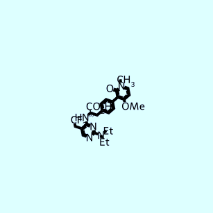 CCN(CC)c1ncc(CC(F)(F)F)c(N[C@@H](Cc2ccc(-c3c(OC)ccn(C)c3=O)cc2)C(=O)O)n1